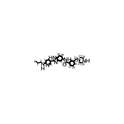 CCCNc1ccc(-c2nc3cc(NC(=O)c4cccc(CN5CCNCC5)c4)ccc3[nH]2)cn1